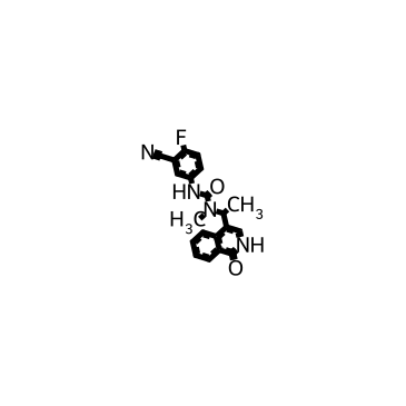 CC(c1c[nH]c(=O)c2ccccc12)N(C)C(=O)Nc1ccc(F)c(C#N)c1